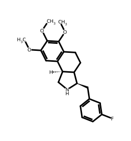 COc1cc2c(c(OC)c1OC)CCC1[C@@H](Cc3cccc(F)c3)NC[C@@H]21